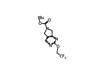 CC(C)(C)OC(=O)N1Cc2cnc(OCC(F)(F)F)nc2C1